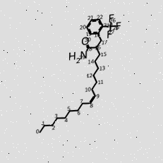 CCCCCCCC/C=C\CCCCCCC(Cc1ccccc1C(F)(F)F)C(N)=O